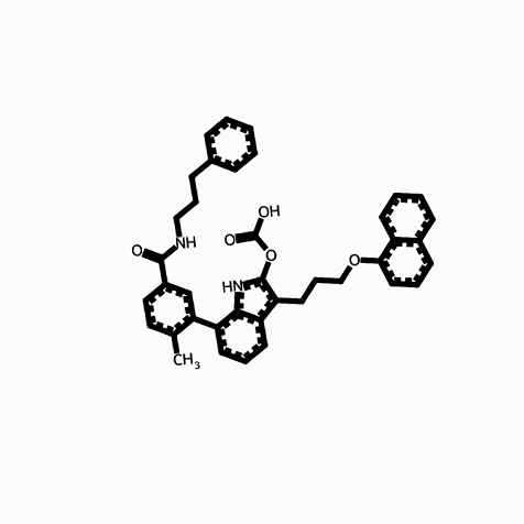 Cc1ccc(C(=O)NCCCc2ccccc2)cc1-c1cccc2c(CCCOc3cccc4ccccc34)c(OC(=O)O)[nH]c12